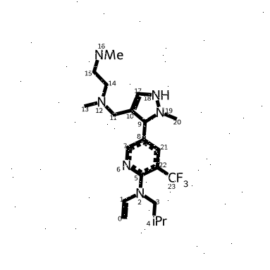 C=CN(CC(C)C)c1ncc(C2C(CN(C)CCNC)=CNN2C)cc1C(F)(F)F